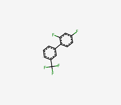 Fc1ccc(-c2cc[c]c(C(F)(F)F)c2)c(F)c1